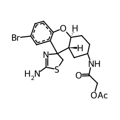 CC(=O)OCC(=O)NC1CC[C@@H]2Oc3ccc(Br)cc3C3(CSC(N)=N3)[C@H]2C1